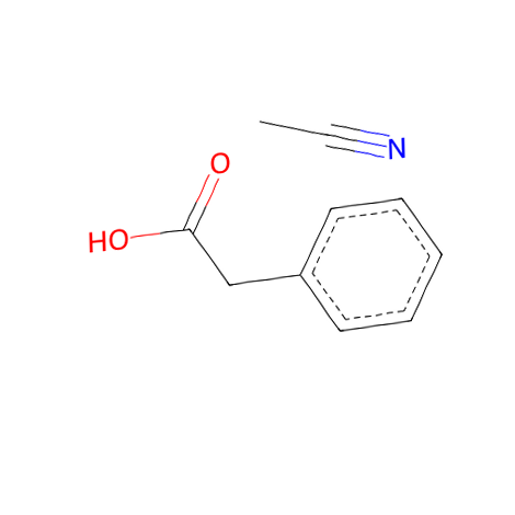 CC#N.O=C(O)Cc1ccccc1